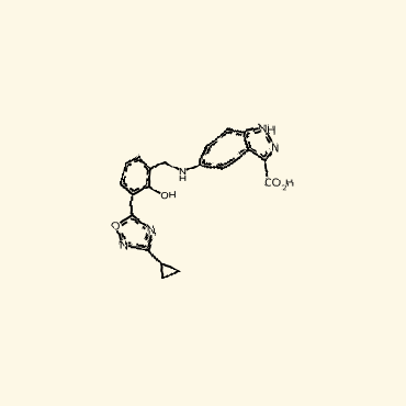 O=C(O)c1n[nH]c2ccc(NCc3cccc(-c4nc(C5CC5)no4)c3O)cc12